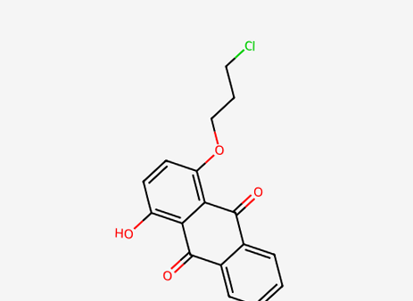 O=C1c2ccccc2C(=O)c2c(OCCCCl)ccc(O)c21